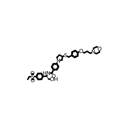 CCS(=O)(=O)c1ccc([C@H](CO)NC(=O)c2ccc(N3CCC(SCc4ccc(OCCCN5CCOCC5)cc4)C3)cc2)cc1